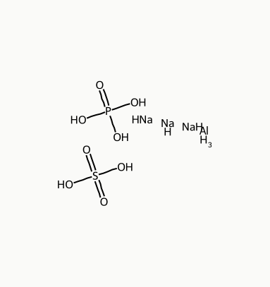 O=P(O)(O)O.O=S(=O)(O)O.[AlH3].[NaH].[NaH].[NaH]